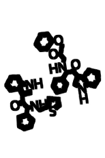 O=C(c1c[nH]c2ccccc12)C(NCC1COc2ccccc2O1)c1ccccc1.O=C(c1c[nH]c2ccccc12)C(NCc1cccs1)c1ccccc1